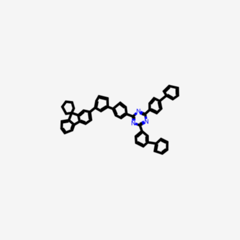 c1ccc(-c2ccc(-c3nc(-c4ccc(-c5cccc(-c6ccc7c(c6)C6(CCCCC6)c6ccccc6-7)c5)cc4)nc(-c4cccc(-c5ccccc5)c4)n3)cc2)cc1